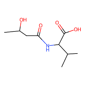 CC(O)CC(=O)NC(C(=O)O)C(C)C